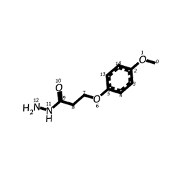 COc1ccc(OCCC(=O)NN)cc1